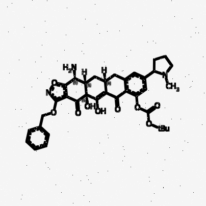 CN1CCCC1c1cc2c(c(OC(=O)OC(C)(C)C)c1)C(=O)C1=C(O)[C@]3(O)C(=O)c4c(OCc5ccccc5)noc4[C@@H](N)[C@@H]3C[C@@H]1C2